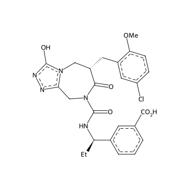 CC[C@@H](NC(=O)N1Cc2nnc(O)n2C[C@H](Cc2cc(Cl)ccc2OC)C1=O)c1cccc(C(=O)O)c1